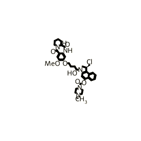 COc1cc2c(cc1OCCCC(O)N1C[C@@H](CCl)c3c1cc(OC(=O)N1CCN(C)CC1)c1ccccc31)NC(=O)[C@@H]1CCCCN1C2=O